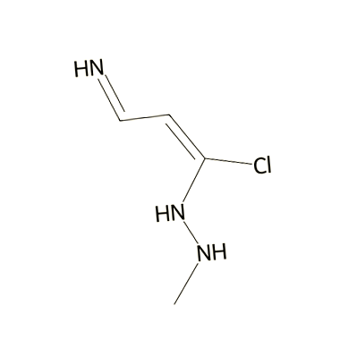 CNN/C(Cl)=C\C=N